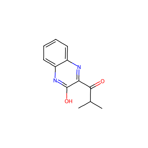 CC(C)C(=O)c1nc2ccccc2nc1O